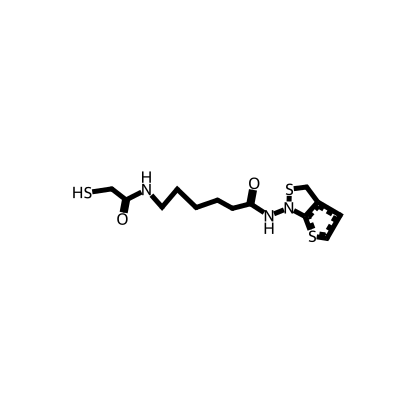 O=C(CS)NCCCCCC(=O)NN1SCc2ccsc21